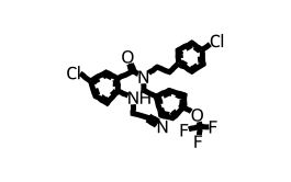 N#CCNc1ccc(Cl)cc1C(=O)N(CCc1ccc(Cl)cc1)Cc1ccc(OC(F)(F)F)cc1